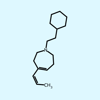 C/C=C\C1=CCCN(CCC2CCCCC2)CC1